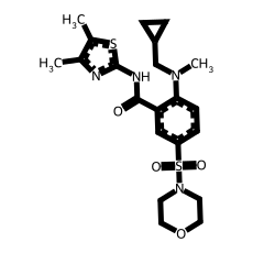 Cc1nc(NC(=O)c2cc(S(=O)(=O)N3CCOCC3)ccc2N(C)CC2CC2)sc1C